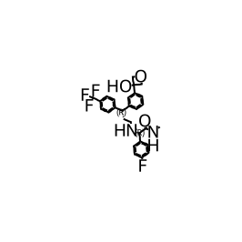 CNC(=O)[C@H](NCC[C@H](c1ccc(C(F)(F)F)cc1)c1cccc(C2(O)COC2)c1)c1ccc(F)cc1